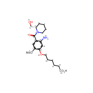 COc1cc(C(=O)N2CCCC[C@H]2CO)c(N)cc1OCCCCCC(=O)O